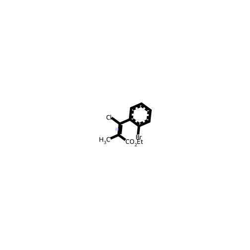 CCOC(=O)/C(C)=C(/Cl)c1ccccc1Br